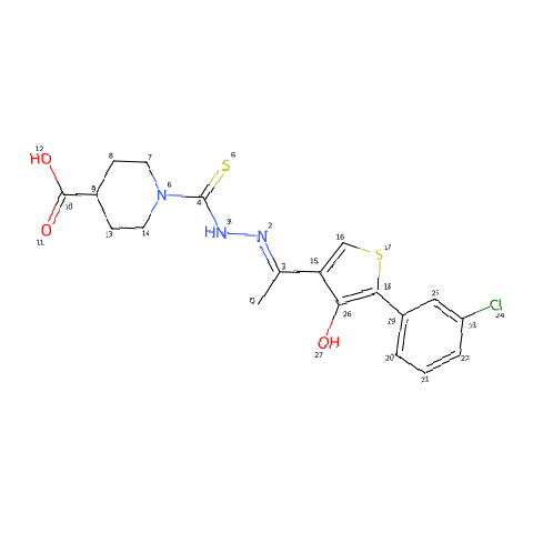 C/C(=N\NC(=S)N1CCC(C(=O)O)CC1)c1csc(-c2cccc(Cl)c2)c1O